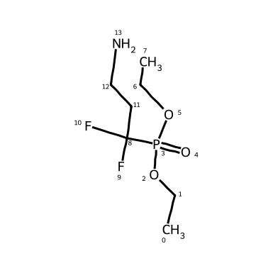 CCOP(=O)(OCC)C(F)(F)CCN